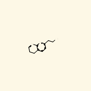 O=CCCc1ccc2c(n1)N=CCC2